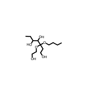 CCCCOC(CCO)(OCCO)C(O)C(O)CC